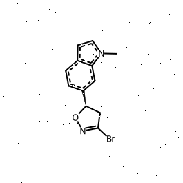 Cn1ccc2ccc([C@H]3CC(Br)=NO3)cc21